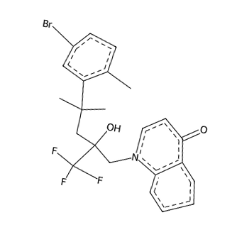 Cc1ccc(Br)cc1C(C)(C)CC(O)(Cn1ccc(=O)c2ccccc21)C(F)(F)F